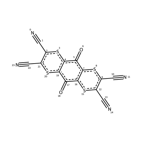 N#Cc1sc2c(=O)c3sc(C#N)c(C#N)sc3c(=O)c2sc1C#N